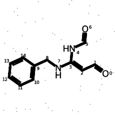 O=C/C=C(\NC=O)NCc1ccccc1